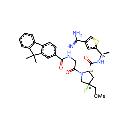 COC[C@@]1(F)C[C@@H](C(=O)N[C@H](C)c2cc(C(=N)N)cs2)N(C(=O)CNC(=O)c2ccc3c(c2)C(C)(C)c2ccccc2-3)C1